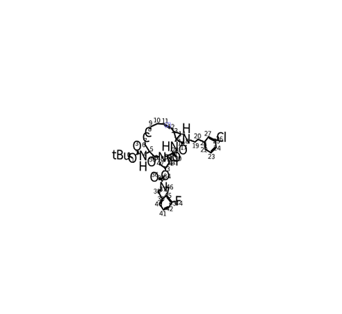 CC(C)(C)OC(=O)NC1CCCCC/C=C\C2CC2(C(=O)NCCc2cccc(Cl)c2)NC(=O)[C@@H]2CC(OC(=O)N3Cc4cccc(F)c4C3)CN2C1=O